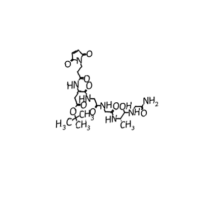 C[C@H](NC(=O)CNC(=O)CNC(=O)C(CC(=O)OC(C)(C)C)NC(=O)CCN1C(=O)C=CC1=O)C(O)NCC(N)=O